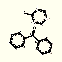 Cc1ncncn1.O=C(c1ccccc1)c1ccccc1